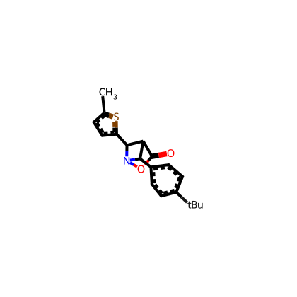 Cc1ccc(C2C3C(=O)ON2C3c2ccc(C(C)(C)C)cc2)s1